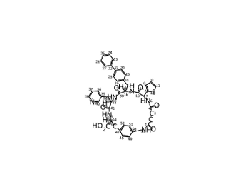 O=C1CCC(=O)NC(c2cccs2)C(=O)N[C@@H](Cc2ccc(-c3ccccc3)cc2)C(=O)N[C@H](Cc2cccnc2)C(=O)N[C@H](C(=O)O)Cc2ccc(cc2)N1